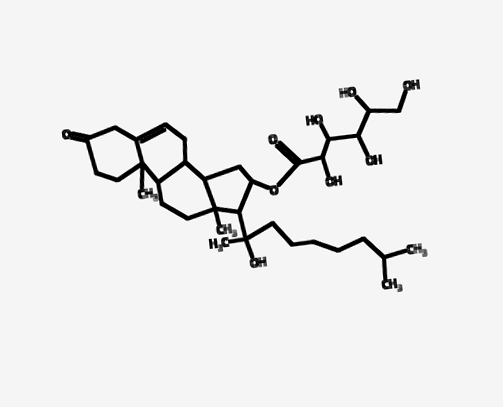 CC(C)CCCCCC(C)(O)C1C(OC(=O)C(O)C(O)C(O)C(O)CO)CC2C3CC=C4CC(=O)CCC4(C)C3CCC21C